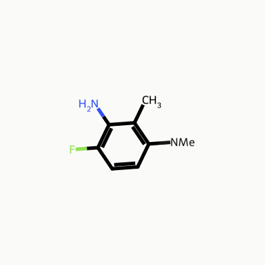 CNc1ccc(F)c(N)c1C